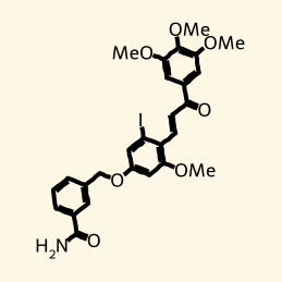 COc1cc(OCc2cccc(C(N)=O)c2)cc(I)c1/C=C/C(=O)c1cc(OC)c(OC)c(OC)c1